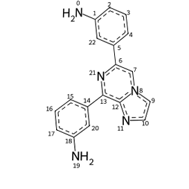 Nc1cccc(-c2cn3ccnc3c(-c3cccc(N)c3)n2)c1